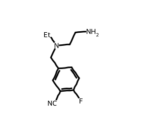 CCN(CCN)Cc1ccc(F)c(C#N)c1